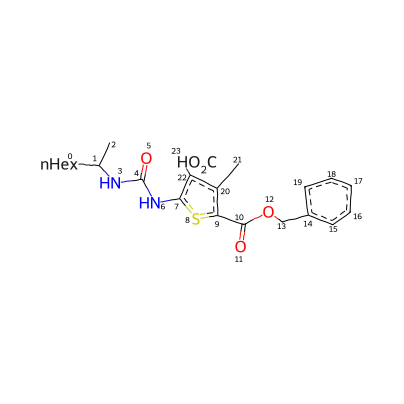 CCCCCCC(C)NC(=O)Nc1sc(C(=O)OCc2ccccc2)c(C)c1C(=O)O